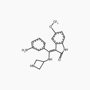 Nc1cccc(/C(NC2CNC2)=C2/C(=O)Nc3ccc(OC(F)(F)F)cc32)c1